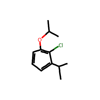 C[C](C)c1cccc(OC(C)C)c1Cl